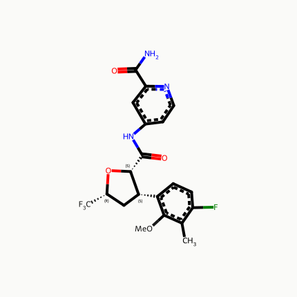 COc1c([C@@H]2C[C@H](C(F)(F)F)O[C@@H]2C(=O)Nc2ccnc(C(N)=O)c2)ccc(F)c1C